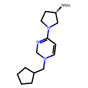 CN[C@@H]1CCN(C2=NCN(CC3CCCC3)C=C2)C1